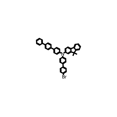 CC1(C)c2ccccc2-c2ccc(N(c3ccc(-c4ccc(Br)cc4)cc3)c3ccc(-c4ccc(-c5ccccc5)cc4)cc3)cc21